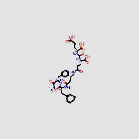 NC(=O)[C@H](Cc1ccccc1)NC(=O)[C@H](Cc1ccccc1)NC(=O)CCCNC(=O)CC[C@H](NC(=O)N[C@@H](CCC(=O)O)C(=O)O)C(=O)O